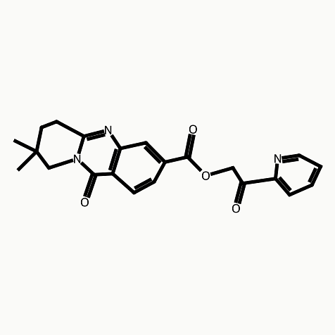 CC1(C)CCc2nc3cc(C(=O)OCC(=O)c4ccccn4)ccc3c(=O)n2C1